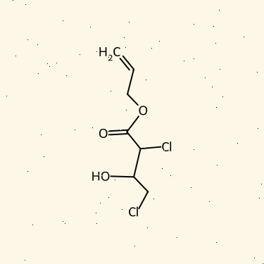 C=CCOC(=O)C(Cl)C(O)CCl